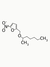 CCCCCC(C)OCc1ccc([N+](=O)[O-])o1